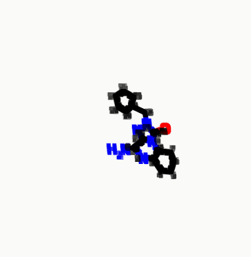 Nc1nc2ccccc2n2c(=O)n(Cc3ccccc3)nc12